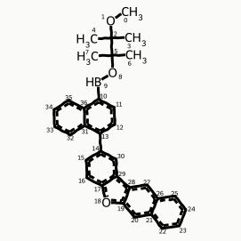 COC(C)(C)C(C)(C)OBc1ccc(-c2ccc3oc4cc5ccccc5cc4c3c2)c2ccccc12